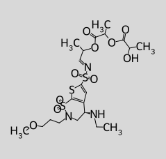 CCN[C@H]1CN(CCCOC)S(=O)(=O)c2sc(S(=O)(=O)/N=C/C(C)OC(=O)C(C)OC(=O)C(C)O)cc21